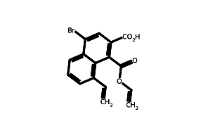 C=COC(=O)c1c(C(=O)O)cc(Br)c2cccc(C=C)c12